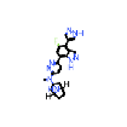 CN(c1ccc(-c2cc(F)c(-c3cn[nH]c3)c3cn[nH]c23)nn1)[C@@H]1C[C@H]2CC[C@@H](C1)N2